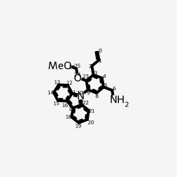 C=CCc1cc(CN)cc(-n2c3ccccc3c3ccccc32)c1OCOC